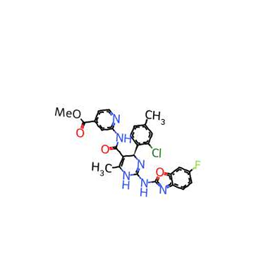 COC(=O)c1ccnc(NC(=O)C2=C(C)NC(Nc3nc4ccc(F)cc4o3)=N[C@@H]2c2ccc(C)cc2Cl)c1